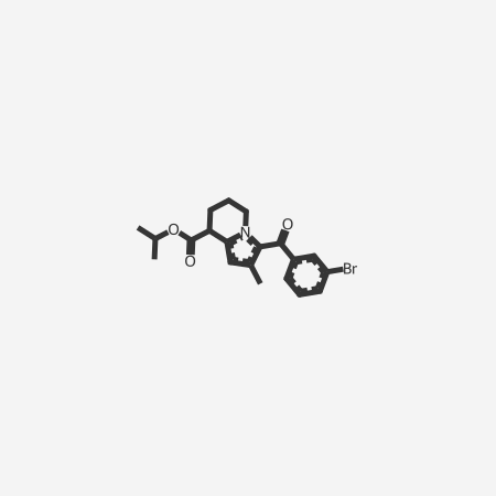 Cc1cc2n(c1C(=O)c1cccc(Br)c1)CCCC2C(=O)OC(C)C